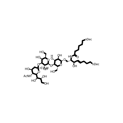 CCCCCCCCCCCCC/C=C/[C@@H](O)[C@H](CO[C@@H]1O[C@H](CO)[C@@H](O[C@@H]2O[C@H](CO)[C@H](O)[C@H](O[C@]3(C(=O)O)C[C@H](O)[C@@H](NC(C)=O)[C@H]([C@H](O)[C@H](O)CO)O3)[C@H]2O)[C@H](O)[C@H]1O)NC(=O)CCCCCCCCCCCCCCC